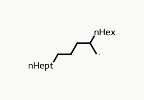 [CH2]CCCCCCCCCC([CH2])CCCCCC